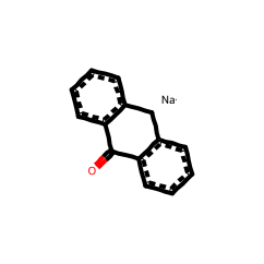 O=C1c2ccccc2Cc2ccccc21.[Na]